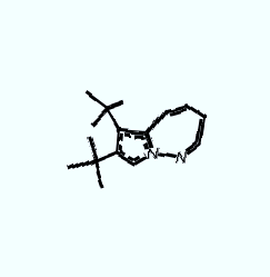 CC(C)(C)c1cn2c(c1C(C)(C)C)C=CC=C=N2